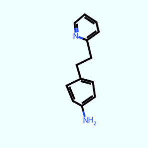 Nc1ccc(CCc2ccccn2)cc1